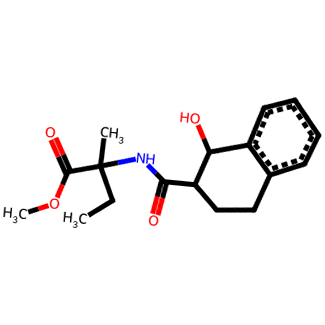 CCC(C)(NC(=O)C1CCc2ccccc2C1O)C(=O)OC